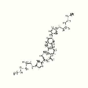 C=C1SC(c2ccc(CCC(C)CCCC(C)C)s2)=CSc2c1ccc1c2sc2cc(-c3ccc(CCC(C)CCCC(C)C)s3)sc21